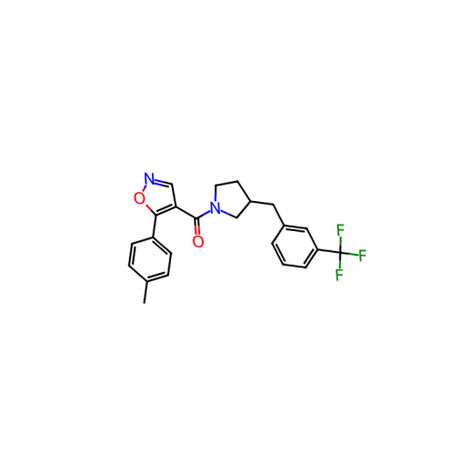 Cc1ccc(-c2oncc2C(=O)N2CCC(Cc3cccc(C(F)(F)F)c3)C2)cc1